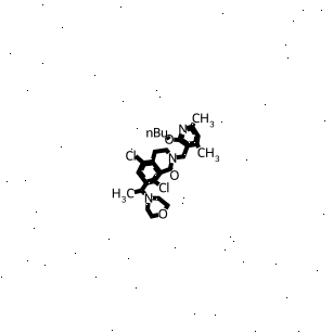 CCCCOc1nc(C)cc(C)c1CN1CCc2c(Cl)cc(C(C)N3CCOCC3)c(Cl)c2C1=O